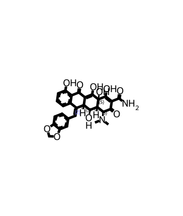 CN(C)[C@@H]1C(=O)C(C(N)=O)=C(O)[C@@]2(O)C(O)=C3C(=O)c4c(O)cccc4/C(=C\c4ccc5c(c4)OCO5)[C@H]3[C@H](O)[C@@H]12